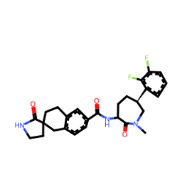 CN1C[C@H](c2cccc(F)c2F)CCC(NC(=O)c2ccc3c(c2)CCC2(CCNC2=O)C3)C1=O